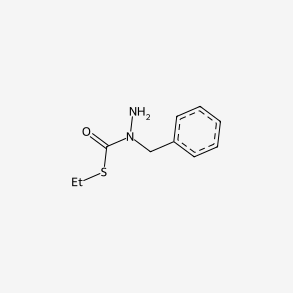 CCSC(=O)N(N)Cc1ccccc1